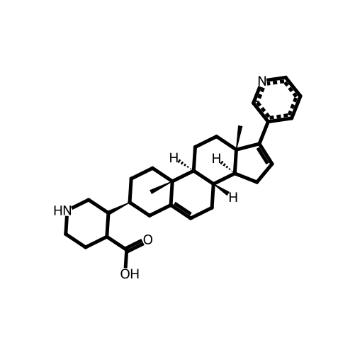 C[C@]12CC[C@H](C3CNCCC3C(=O)O)CC1=CC[C@@H]1[C@@H]2CC[C@]2(C)C(c3cccnc3)=CC[C@@H]12